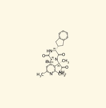 CC[C@H](C)[C@@H]1C(=O)N[C@H](C2Cc3ccccc3C2)C(=O)N1[C@@](C)(C(N)=O)c1ccc(C)nc1C